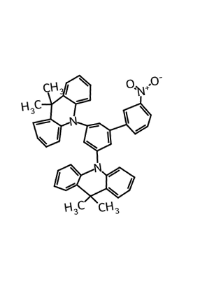 CC1(C)c2ccccc2N(c2cc(-c3cccc([N+](=O)[O-])c3)cc(N3c4ccccc4C(C)(C)c4ccccc43)c2)c2ccccc21